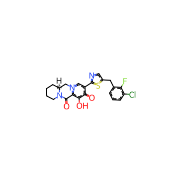 O=C1c2c(O)c(=O)c(-c3ncc(Cc4cccc(Cl)c4F)s3)cn2C[C@@H]2CCCCN12